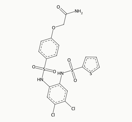 NC(=O)COc1ccc(S(=O)(=O)Nc2cc(Cl)c(Cl)cc2NS(=O)(=O)c2cccs2)cc1